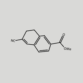 COC(=O)c1ccc2c(c1)CCC(C#N)=C2